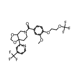 COc1cc(C(=O)N2CCC3(c4cc(C(F)(F)F)ccn4)OCOC3C2)ccc1OCCOC(F)(F)F